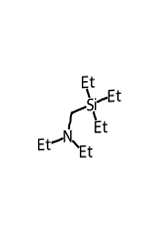 CCN(CC)C[Si](CC)(CC)CC